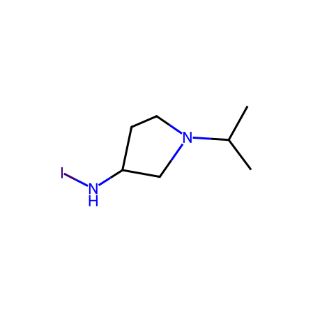 CC(C)N1CCC(NI)C1